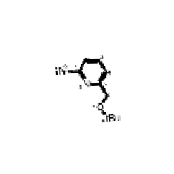 CC(C)c1cccc(COC(C)(C)C)n1